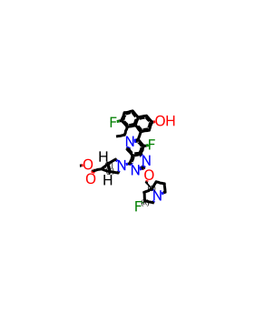 CCc1c(F)ccc2cc(O)cc(-c3ncc4c(N5C[C@@H]6C(C(=O)OC)[C@@H]6C5)nc(OC[C@@]56CCCN5C[C@H](F)C6)nc4c3F)c12